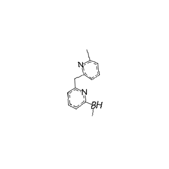 CBc1cccc(Cc2cccc(C)n2)n1